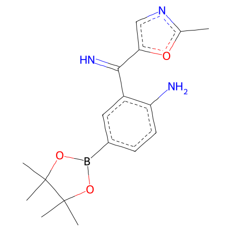 Cc1ncc(C(=N)c2cc(B3OC(C)(C)C(C)(C)O3)ccc2N)o1